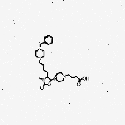 CN1C(=O)OC(N2CCN(CCCC(=O)O)CC2)C1CCCCN1CCN(Cc2ccccc2)CC1